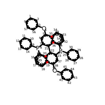 c1ccc(Oc2cc(P(c3ccccc3)c3ccccc3)c(-c3c(P(c4ccccc4)c4ccccc4)cc(Oc4ccccc4)c4c3OCO4)c3c2OCO3)cc1